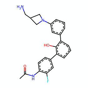 CC(=O)Nc1ccc(-c2cccc(-c3cccc(N4CC(CN)C4)c3)c2O)cc1F